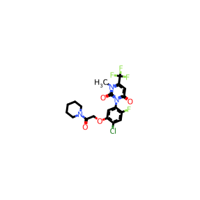 Cn1c(C(F)(F)F)cc(=O)n(-c2cc(OCC(=O)N3CCCCC3)c(Cl)cc2F)c1=O